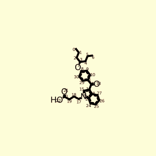 CCCC(CCC)Oc1ccc(C(=O)c2cn(CCCC(=O)O)c3ccccc23)cc1